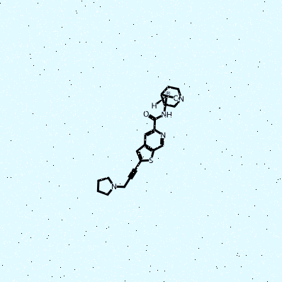 O=C(N[C@H]1CN2CCC1CC2)c1cc2cc(C#CCN3CCCC3)sc2cn1